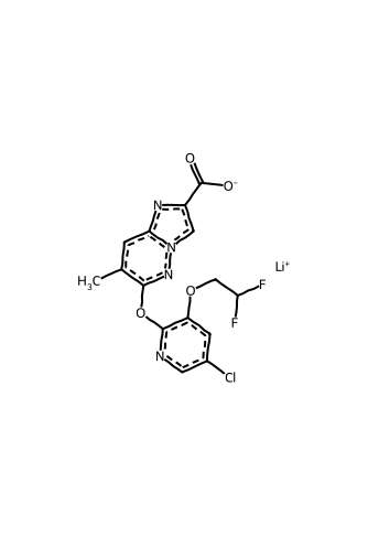 Cc1cc2nc(C(=O)[O-])cn2nc1Oc1ncc(Cl)cc1OCC(F)F.[Li+]